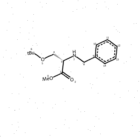 COC(=O)[C@H](COC(C)(C)C)NCc1ccccc1